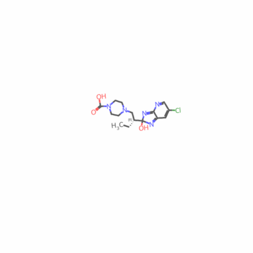 CC[C@H](CN1CCN(C(=O)O)CC1)C1(O)N=c2cc(Cl)cnc2=N1